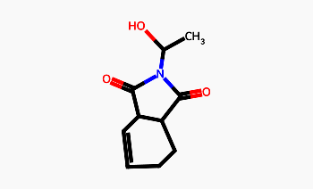 CC(O)N1C(=O)C2C=CCCC2C1=O